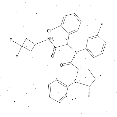 C[C@H]1CCC(C(=O)N(c2cccc(F)c2)[C@H](C(=O)NC2CC(F)(F)C2)c2ccccc2Cl)N1c1ncccn1